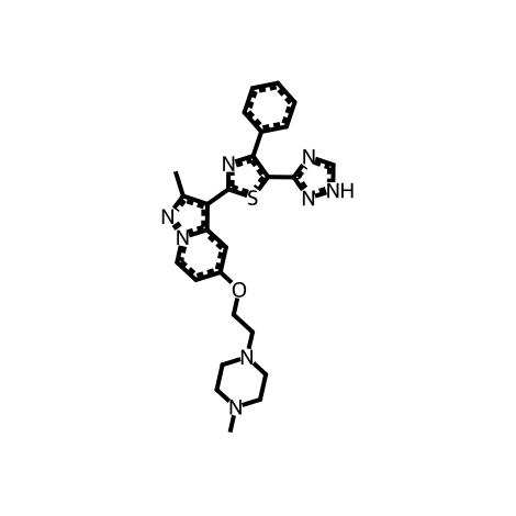 Cc1nn2ccc(OCCN3CCN(C)CC3)cc2c1-c1nc(-c2ccccc2)c(-c2nc[nH]n2)s1